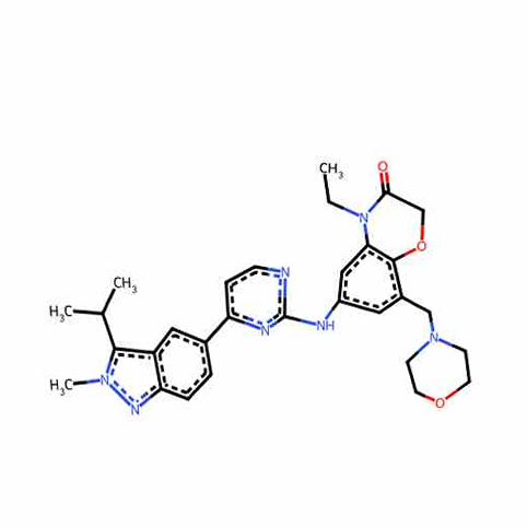 CCN1C(=O)COc2c(CN3CCOCC3)cc(Nc3nccc(-c4ccc5nn(C)c(C(C)C)c5c4)n3)cc21